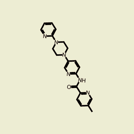 Cc1ccc(C(=O)Nc2ccc(N3CCN(c4ccccn4)CC3)cn2)nc1